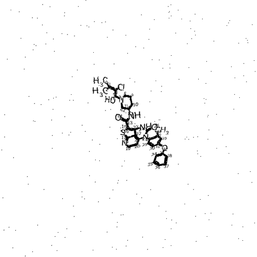 CC(C)=C(Cl)C(O)N1CCC[C@@H](NC(=O)c2sc3nccc4c3c2NC(=O)N4c2ccc(Oc3ccccc3)cc2C)C1